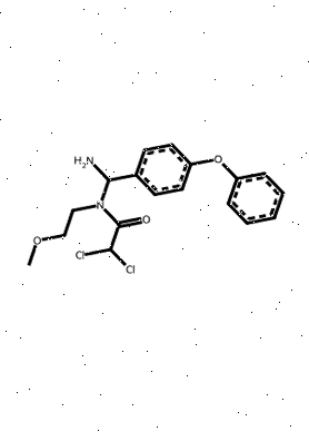 COCCN(C(=O)C(Cl)Cl)C(N)c1ccc(Oc2ccccc2)cc1